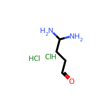 Cl.Cl.NC(N)CCC=O